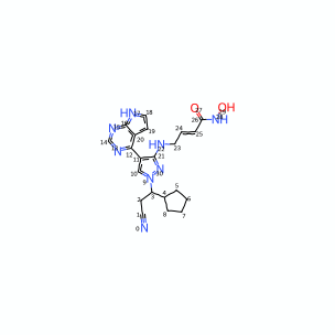 N#CCC(C1CCCC1)n1cc(-c2ncnc3[nH]ccc23)c(NC/C=C/C(=O)NO)n1